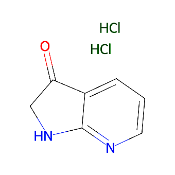 Cl.Cl.O=C1CNc2ncccc21